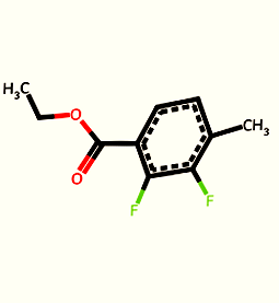 CCOC(=O)c1ccc(C)c(F)c1F